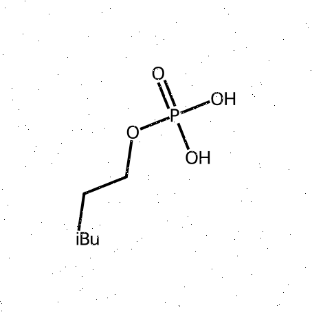 CCC(C)CCOP(=O)(O)O